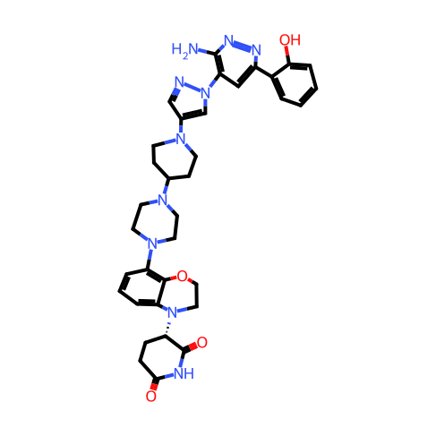 Nc1nnc(-c2ccccc2O)cc1-n1cc(N2CCC(N3CCN(c4cccc5c4OCCN5[C@H]4CCC(=O)NC4=O)CC3)CC2)cn1